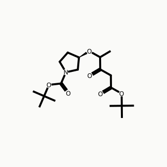 CC(O[C@@H]1CCN(C(=O)OC(C)(C)C)C1)C(=O)CC(=O)OC(C)(C)C